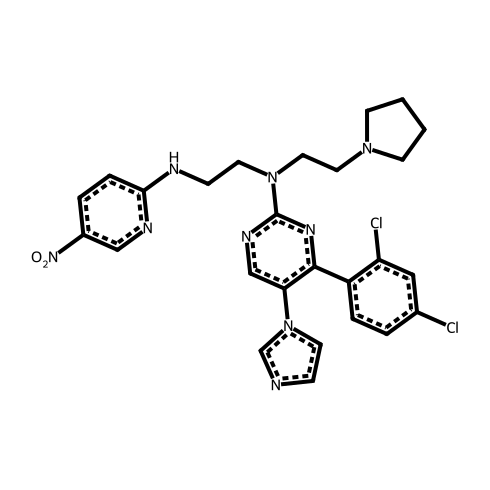 O=[N+]([O-])c1ccc(NCCN(CCN2CCCC2)c2ncc(-n3ccnc3)c(-c3ccc(Cl)cc3Cl)n2)nc1